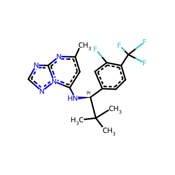 Cc1cc(N[C@@H](c2ccc(C(F)(F)F)c(F)c2)C(C)(C)C)n2ncnc2n1